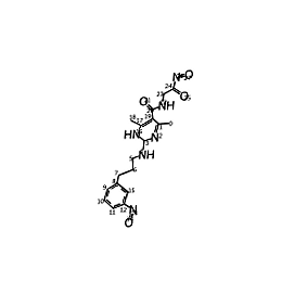 CC1=NC(NCCCc2cccc(N=O)c2)NC(C)=C1C(=O)NCC(=O)N=O